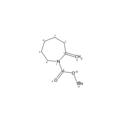 C=C1CCCCCN1C(=O)OC(C)(C)C